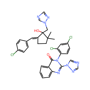 CC1(C)CC/C(=C\c2ccc(Cl)cc2)C1(O)Cn1cncn1.O=c1c2ccccc2nc(-n2cncn2)n1-c1ccc(Cl)cc1Cl